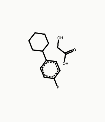 Fc1ccc(C2CCCCC2)cc1.O=C(O)CO